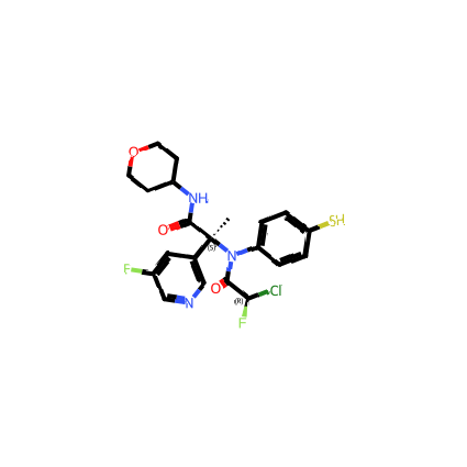 C[C@@](C(=O)NC1CCOCC1)(c1cncc(F)c1)N(C(=O)[C@H](F)Cl)c1ccc(S)cc1